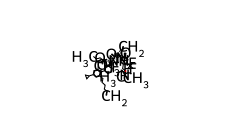 C=CCCCCc1cc(C2CC2)cc(C)c1-c1ccc(F)c([C@H](CC(=O)OCC)NC(=O)[C@H](CC=C)n2cc(CCN(C)C)c(C(F)(F)F)cc2=O)c1